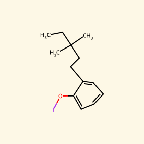 CCC(C)(C)CCc1ccccc1OI